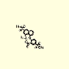 O=[N+]([O-])c1cc(S(=O)(=O)O)ccc1Nc1cccc2cc(S(=O)(=O)O)cc(O)c12